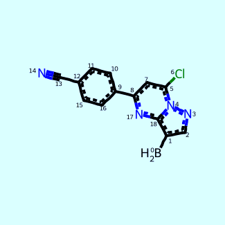 Bc1cnn2c(Cl)cc(-c3ccc(C#N)cc3)nc12